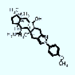 COc1ccc(-n2cc3c(n2)C[C@H](CO)[C@@](C)([C@H]2CC[C@]4(C)[C@@H](C)CC[C@H]4[C@@H]2CN)C3)cc1